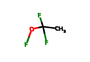 CC(F)(F)OF